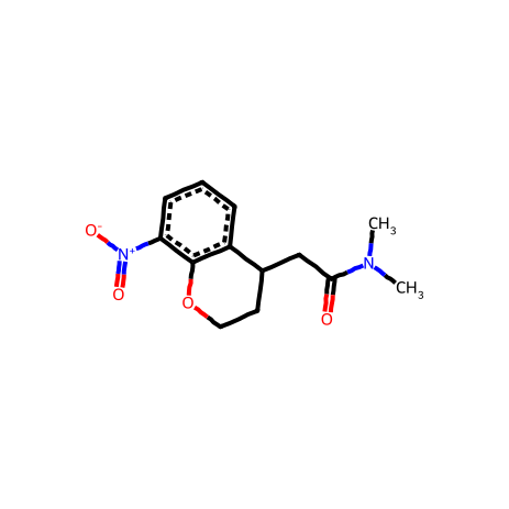 CN(C)C(=O)CC1CCOc2c1cccc2[N+](=O)[O-]